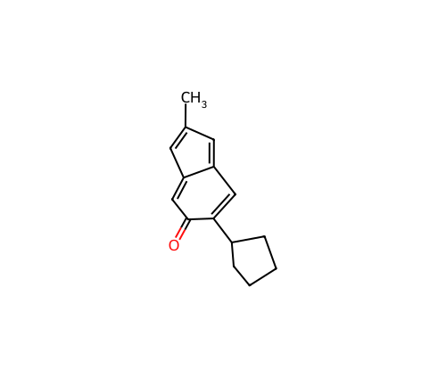 CC1=CC2=CC(=O)C(C3CCCC3)=CC2=C1